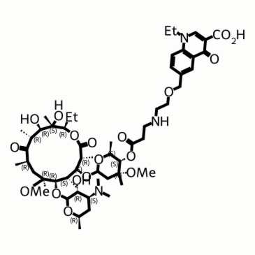 CC[C@H]1OC(=O)[C@H](C)[C@@H](OC2C[C@@](C)(OC)[C@@H](OC(=O)CCNCCOCc3ccc4c(c3)c(=O)c(C(=O)O)cn4CC)[C@H](C)O2)[C@H](C)[C@@H](OC2O[C@H](C)C[C@H](N(C)C)[C@H]2O)[C@](C)(OC)C[C@@H](C)C(=O)[C@H](C)[C@@H](O)[C@]1(C)O